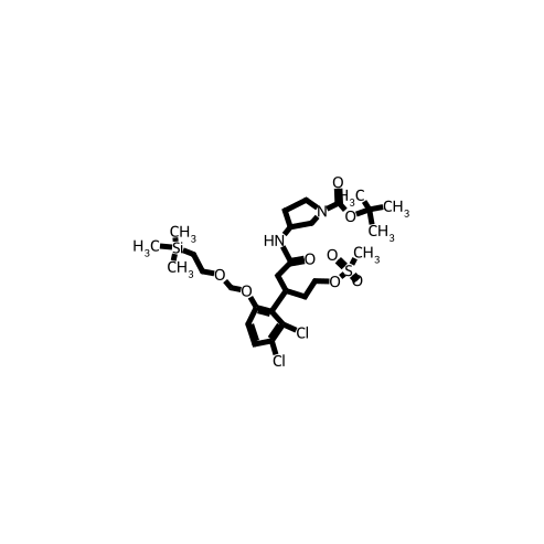 CC(C)(C)OC(=O)N1CCC(NC(=O)CC(CCOS(C)(=O)=O)c2c(OCOCC[Si](C)(C)C)ccc(Cl)c2Cl)C1